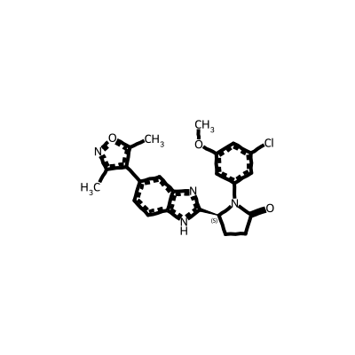 COc1cc(Cl)cc(N2C(=O)CC[C@H]2c2nc3cc(-c4c(C)noc4C)ccc3[nH]2)c1